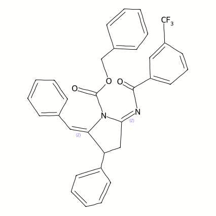 O=C(/N=C1/CC(c2ccccc2)/C(=C/c2ccccc2)N1C(=O)OCc1ccccc1)c1cccc(C(F)(F)F)c1